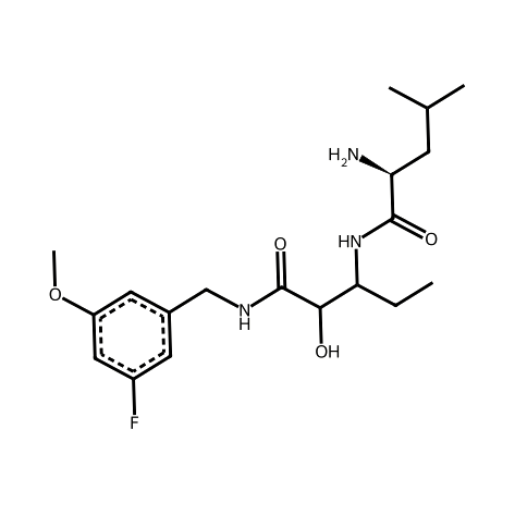 CCC(NC(=O)[C@@H](N)CC(C)C)C(O)C(=O)NCc1cc(F)cc(OC)c1